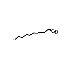 [CH2]CCCCCCCCC=C=O